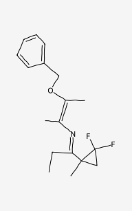 CC/C(=N\C(C)=C(/C)OCc1ccccc1)C1(C)CC1(F)F